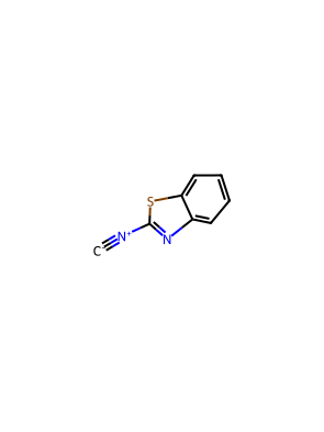 [C-]#[N+]c1nc2ccccc2s1